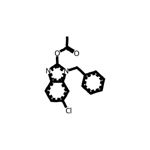 CC(=O)Oc1nc2ccc(Cl)cc2n1Cc1ccccc1